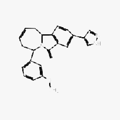 COc1cccc(C2CC=CCC3c4ccc(-c5cn[nH]c5)cc4C(=O)N23)c1